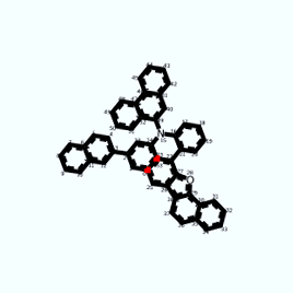 c1cc(-c2ccc3ccccc3c2)cc(N(c2ccccc2-c2cccc3c2oc2c4ccccc4ccc32)c2cc3ccccc3c3ccccc23)c1